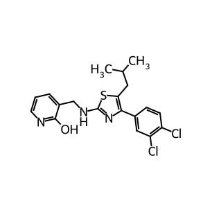 CC(C)Cc1sc(NCc2cccnc2O)nc1-c1ccc(Cl)c(Cl)c1